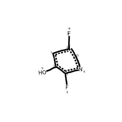 Oc1cc(F)cnc1F